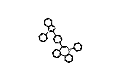 C1=C(c2ccc(-c3nc4ccccc4n3-c3ccccc3)cc2)c2ccccc2-c2ccccc2N1c1ccccc1